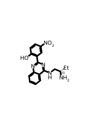 CC[C@H](N)CNc1nc(-c2cc([N+](=O)[O-])ccc2O)nc2ccccc12